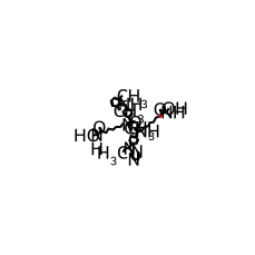 CCN(c1ccc(C(=O)NCCCCCCC(=O)NO)cc1)c1cnccn1.Cc1cccc(C)c1Nc1ccc(C(=O)N(C)CCCCCCC(=O)NO)cc1